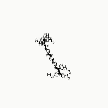 CC(C)[C@H](C)COCCOCCOCCNC(C)(C)C